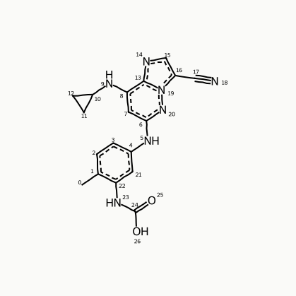 Cc1ccc(Nc2cc(NC3CC3)c3ncc(C#N)n3n2)cc1NC(=O)O